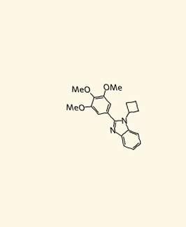 COc1cc(-c2nc3ccccc3n2C2CCC2)cc(OC)c1OC